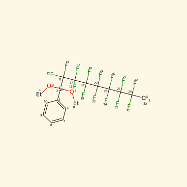 CCO[Si](OCC)(c1ccccc1)C(F)(F)C(F)(F)C(F)(F)C(F)(F)C(F)(F)C(F)(F)C(F)(F)C(F)(F)F